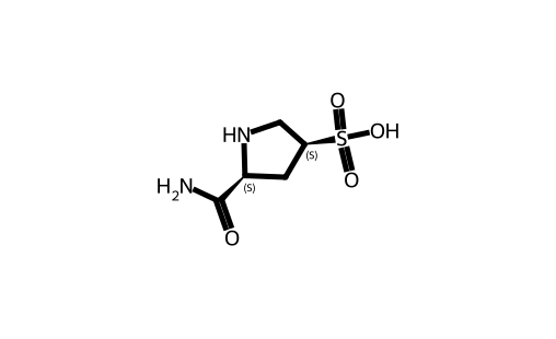 NC(=O)[C@@H]1C[C@H](S(=O)(=O)O)CN1